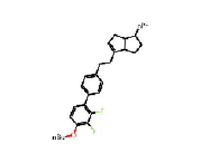 CCCCOc1ccc(-c2ccc(CCC3=CCC4C(CCC)CCC34)cc2)c(F)c1F